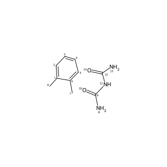 Cc1ccccc1C.NC(=O)NC(N)=O